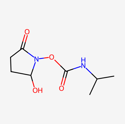 CC(C)NC(=O)ON1C(=O)CCC1O